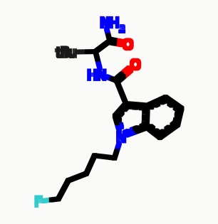 CC(C)(C)C(NC(=O)c1cn(CCCCCF)c2ccccc12)C(N)=O